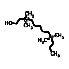 CCC[N+](C)(C)CCCCC[N+](C)(C)CCO